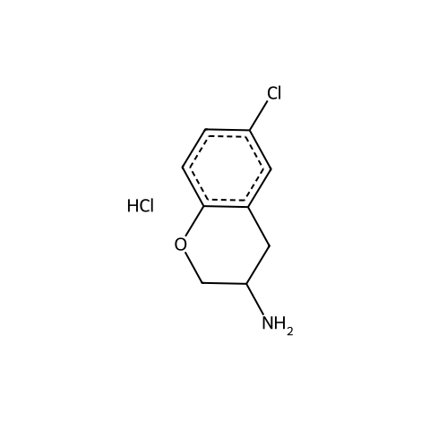 Cl.NC1COc2ccc(Cl)cc2C1